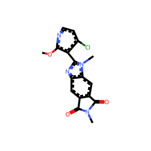 COc1nccc(Cl)c1-c1nc2cc3c(cc2n1C)C(=O)N(C)C3=O